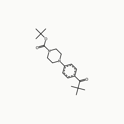 CC(C)(C)OC(=O)N1CCN(c2ccc(C(=O)C(C)(C)C)cc2)CC1